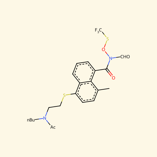 CCCCN(CCSc1ccc(C)c2c(C(=O)N(C=O)OSC(F)(F)F)cccc12)C(C)=O